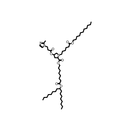 CCCCCCCCCCCOC(=O)CCCCCN1CC(OC(=O)CCn2ccnc2C)CC1C(=O)OCCCCCCCC(=O)OC(CCCCCCCC)CCCCCCCC